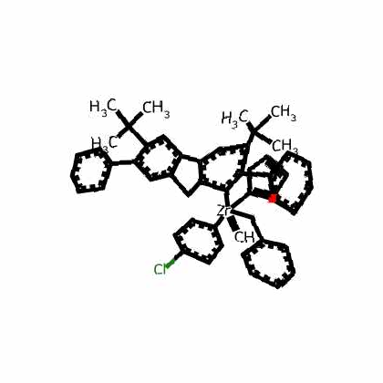 [CH2]=[Zr]([CH2]c1ccccc1)([C]1=CC=CC1)([c]1ccc(Cl)cc1)[c]1c2c(cc(C(C)(C)C)c1-c1ccccc1)-c1cc(C(C)(C)C)c(-c3ccccc3)cc1C2